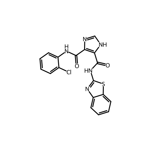 O=C(Nc1ccccc1Cl)c1nc[nH]c1C(=O)Nc1nc2ccccc2s1